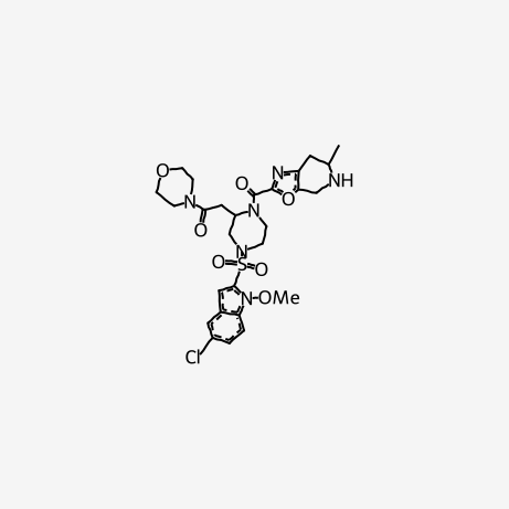 COn1c(S(=O)(=O)N2CCN(C(=O)c3nc4c(o3)CNC(C)C4)C(CC(=O)N3CCOCC3)C2)cc2cc(Cl)ccc21